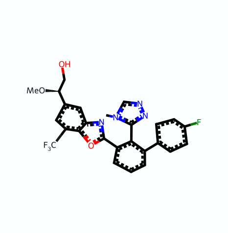 CO[C@@H](CO)c1cc(C(F)(F)F)c2oc(-c3cccc(-c4ccc(F)cc4)c3-c3nncn3C)nc2c1